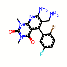 Cn1c(=O)c2c(-c3cc(F)ccc3Br)c(CN)c(N)nc2n(C)c1=O